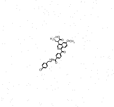 CCC(C(=O)O)c1cnc(C(=O)c2ccc(C(=O)NCCc3ccc(Cl)cc3)cc2)c2ccc(OC)cc12